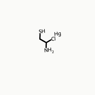 NC(Cl)CS.[Hg]